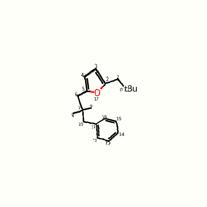 CC(C)(C)Cc1ccc(CC(C)(C)Cc2ccccc2)o1